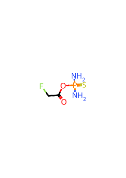 NP(N)(=S)OC(=O)CF